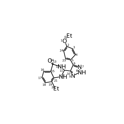 CCOc1ccc(-c2n[nH]nc2C2NC(=O)c3cccc(CC)c3N2)cc1